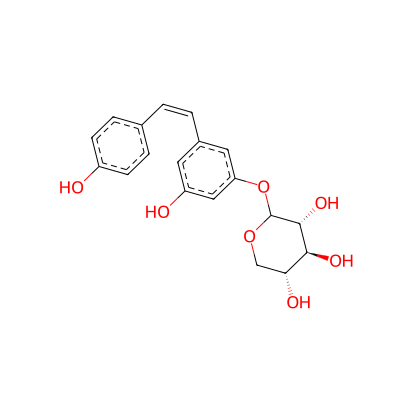 Oc1ccc(/C=C\c2cc(O)cc(OC3OC[C@@H](O)[C@H](O)[C@H]3O)c2)cc1